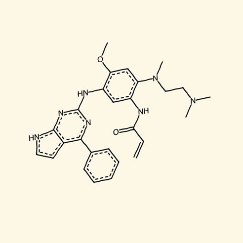 C=CC(=O)Nc1cc(Nc2nc(-c3ccccc3)c3cc[nH]c3n2)c(OC)cc1N(C)CCN(C)C